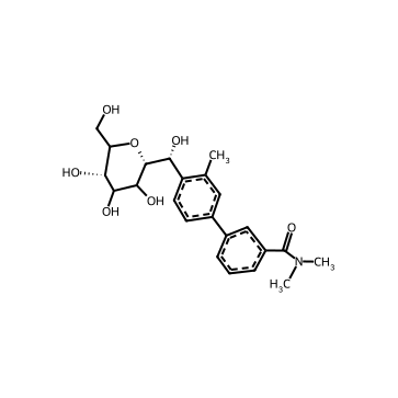 Cc1cc(-c2cccc(C(=O)N(C)C)c2)ccc1[C@@H](O)[C@H]1OC(CO)[C@@H](O)C(O)C1O